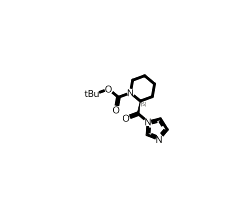 CC(C)(C)OC(=O)N1CCCC[C@H]1C(=O)n1ccnc1